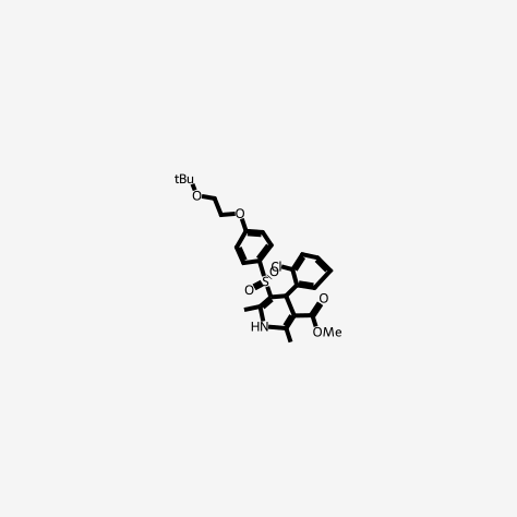 COC(=O)C1=C(C)NC(C)=C(S(=O)(=O)c2ccc(OCCOC(C)(C)C)cc2)C1c1ccccc1Cl